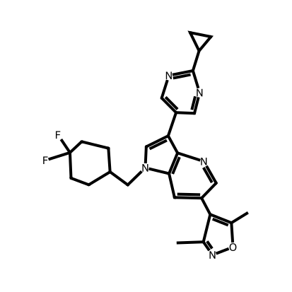 Cc1noc(C)c1-c1cnc2c(-c3cnc(C4CC4)nc3)cn(CC3CCC(F)(F)CC3)c2c1